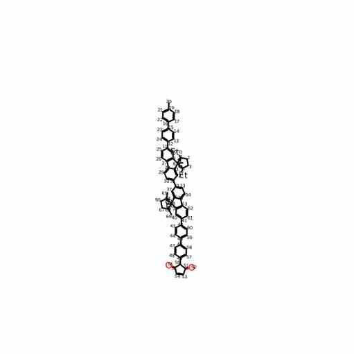 CCC12CCC(CC)(CC1)C21c2cc(-c3ccc(-c4ccc(C)cc4)cc3)ccc2-c2ccc(-c3ccc4c(c3)C3(c5cc(-c6ccc(-c7ccc(C8C(=O)C=CC8=O)cc7)cc6)ccc5-4)C4(C)CCC3(C)CC4)cc21